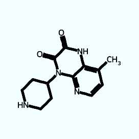 Cc1ccnc2c1[nH]c(=O)c(=O)n2C1CCNCC1